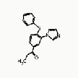 CCC(=O)c1ccc(Sc2ccccc2)c(-n2ccnc2)c1